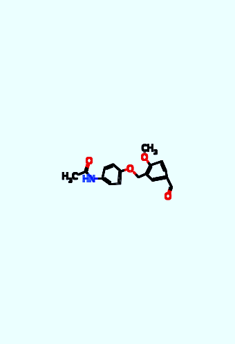 COc1ccc(C=O)cc1COc1ccc(NC(C)=O)cc1